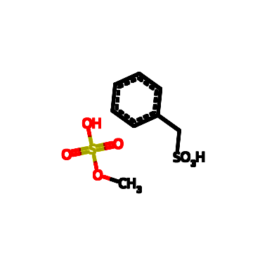 COS(=O)(=O)O.O=S(=O)(O)Cc1ccccc1